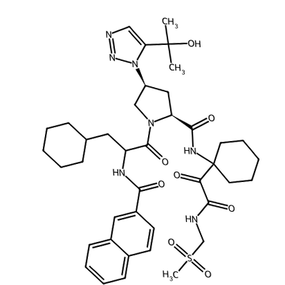 CC(C)(O)c1cnnn1[C@H]1C[C@@H](C(=O)NC2(C(=O)C(=O)NCS(C)(=O)=O)CCCCC2)N(C(=O)C(CC2CCCCC2)NC(=O)c2ccc3ccccc3c2)C1